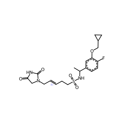 CC(NS(=O)(=O)CC/C=C/CN1CC(=O)NC1=O)c1ccc(F)c(OCC2CC2)c1